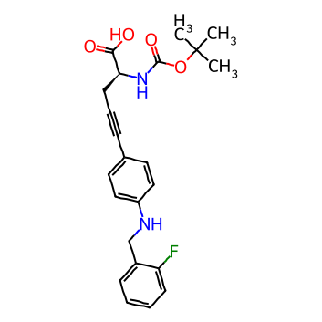 CC(C)(C)OC(=O)N[C@@H](CC#Cc1ccc(NCc2ccccc2F)cc1)C(=O)O